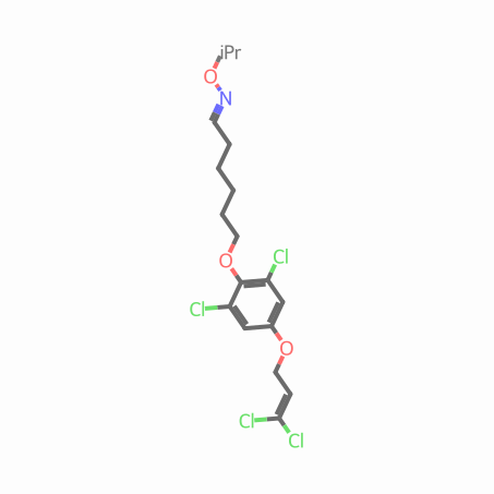 CC(C)O/N=C/CCCCCOc1c(Cl)cc(OCC=C(Cl)Cl)cc1Cl